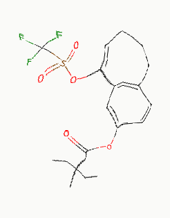 CC(C)(C)C(=O)Oc1ccc2c(c1)C(OS(=O)(=O)C(F)(F)F)=CCCC2